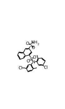 Cc1ccc(Cl)cc1N(c1cc(Cl)ccc1C)S(=O)(=O)c1cc(S(N)(=O)=O)cc2ccccc12